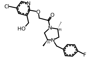 C[C@@H]1CN(Cc2ccc(F)cc2)[C@@H](C)CN1C(=O)COc1ncc(Cl)cc1CO